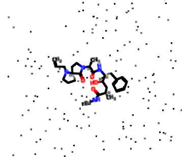 C=CCN1CCC[C@@]12CCN([C@@H](C)C(=O)N[C@H](Cc1ccccc1)[C@H](O)C[C@H](C)C(=O)NCCCC)C2=O